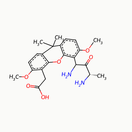 COc1ccc2c(c1CC(=O)O)Oc1c(ccc(OC)c1C(N)C(=O)[C@H](C)N)C2(C)C